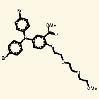 COCCOCCOCCOc1ccc(N(c2ccc(Br)cc2)c2ccc(Br)cc2)cc1C(=O)OC